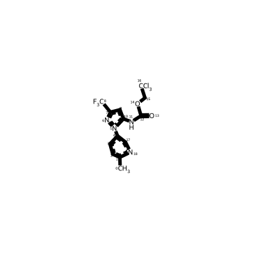 Cc1ccc(-n2nc(C(F)(F)F)cc2NC(=O)OCC(Cl)(Cl)Cl)cn1